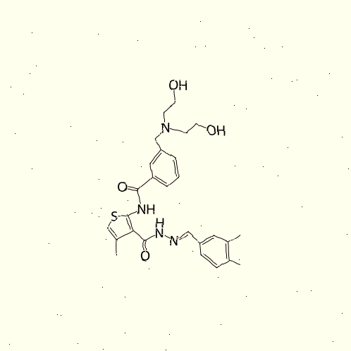 Cc1ccc(/C=N/NC(=O)c2c(C)csc2NC(=O)c2cccc(CN(CCO)CCO)c2)cc1C